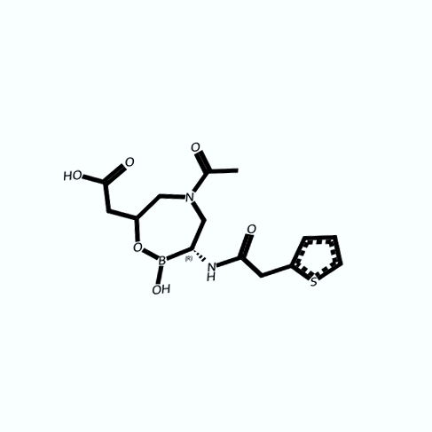 CC(=O)N1CC(CC(=O)O)OB(O)[C@@H](NC(=O)Cc2cccs2)C1